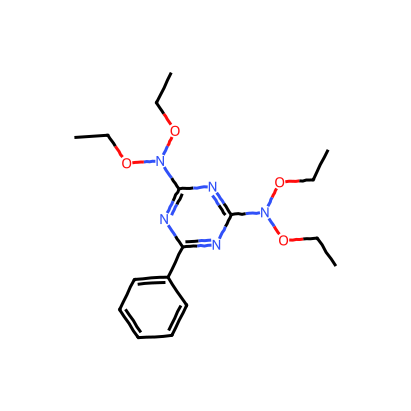 CCON(OCC)c1nc(-c2ccccc2)nc(N(OCC)OCC)n1